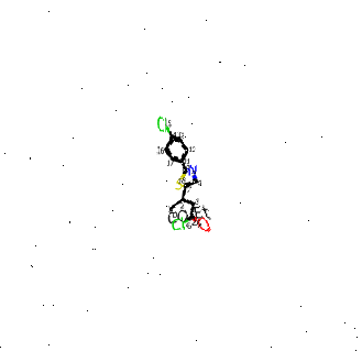 CCOC(=O)CC(CC(=O)Cl)c1cnc(-c2ccc(Cl)cc2)s1